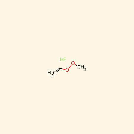 C=COOC.F